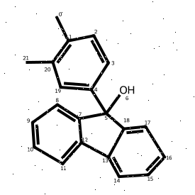 Cc1ccc(C2(O)c3ccccc3-c3ccccc32)cc1C